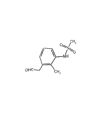 Cc1c(CC=O)cccc1NS(C)(=O)=O